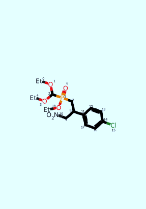 CCOC(OCC)P(=O)(CC(C[N+](=O)[O-])c1ccc(Cl)cc1)OCC